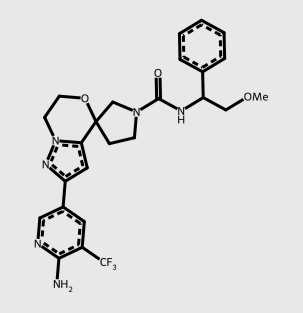 COCC(NC(=O)N1CCC2(C1)OCCn1nc(-c3cnc(N)c(C(F)(F)F)c3)cc12)c1ccccc1